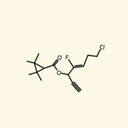 C#CC(OC(=O)C1C(C)(C)C1(C)C)C(F)=CCCCl